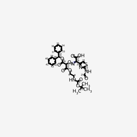 CC(C)(C)OC(=O)NCCOC(=O)C(O/N=C(\C(=O)O)c1csc(NC=O)n1)C(=O)OC(c1ccccc1)c1ccccc1